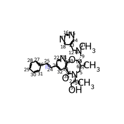 C[C@H](CO)N1C[C@H](C)[C@@H](CN(C)Cc2cncnc2)Oc2ncc(/C=C/c3ccccc3)cc2C1=O